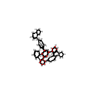 N#Cc1cccc(-c2ccccc2-c2ccc3c4ccccc4c4ccccc4c3c2)c1-c1ccccc1-c1ccccc1-c1nc(-c2ccccc2)nc(-c2ccc(-c3cccc4ccccc34)cc2)n1